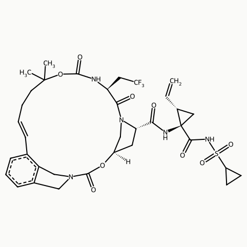 C=C[C@@H]1C[C@]1(NC(=O)[C@@H]1C[C@@H]2CN1C(=O)[C@H](CC(F)(F)F)NC(=O)OC(C)(C)CC/C=C/c1cccc3c1CN(C3)C(=O)O2)C(=O)NS(=O)(=O)C1CC1